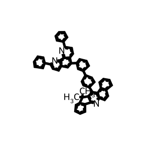 CC1(C)c2ccccc2-c2nc3ccc4ccccc4c3c(-c3ccc(-c4cccc(-c5cc6ccc(-c7ccccc7)nc6c6nc(-c7ccccc7)ccc56)c4)cc3)c21